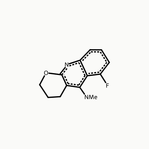 CNc1c2c(nc3cccc(F)c13)OCCC2